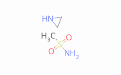 C1CN1.CS(N)(=O)=O